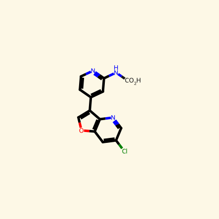 O=C(O)Nc1cc(-c2coc3cc(Cl)cnc23)ccn1